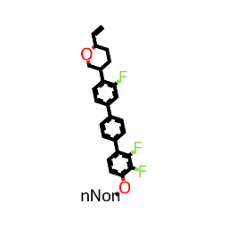 C=CC1CCC(c2ccc(-c3ccc(-c4ccc(OCCCCCCCCC)c(F)c4F)cc3)cc2F)CO1